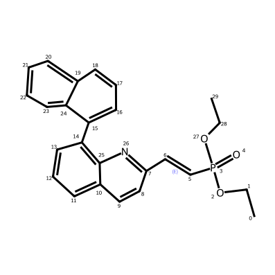 CCOP(=O)(/C=C/c1ccc2cccc(-c3cccc4ccccc34)c2n1)OCC